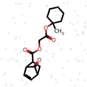 CC1(OC(=O)COC(=O)C2CC3C=CC2C3=O)CCCCC1